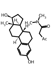 CC(=O)CC(=O)N(C)C.C[C@]12CC[C@@H]3c4ccc(O)cc4CC[C@H]3[C@@H]1CC[C@@H]2O